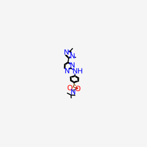 Cc1ncc(-c2ccnc(Nc3ccc(S(=O)(=O)N4CC4(C)C)cc3)n2)n1C